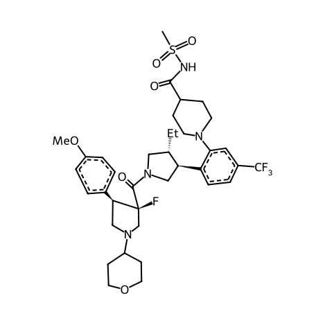 CC[C@H]1CN(C(=O)[C@]2(F)CN(C3CCOCC3)C[C@H]2c2ccc(OC)cc2)C[C@@H]1c1ccc(C(F)(F)F)cc1N1CCC(C(=O)NS(C)(=O)=O)CC1